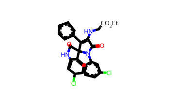 CCOC(=O)CNC1=C(c2ccccc2)C2(C(=O)NC3=CC(Cl)CC=C32)N(c2cccc(Cl)c2)C1=O